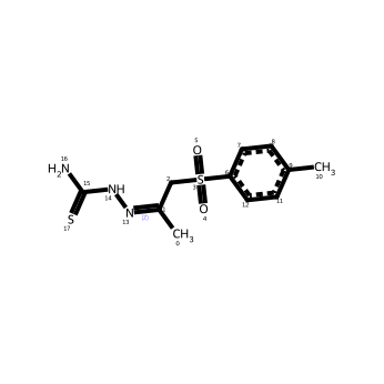 C/C(CS(=O)(=O)c1ccc(C)cc1)=N/NC(N)=S